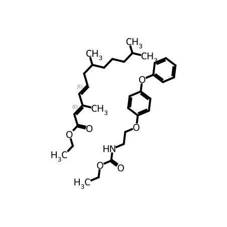 CCOC(=O)/C=C(C)/C=C/CC(C)CCCC(C)C.CCOC(=O)NCCOc1ccc(Oc2ccccc2)cc1